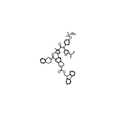 Cc1c(C(=O)N(c2ccc(O[Si](C)(C)C(C)(C)C)cc2)c2cnn(C(F)F)c2)cc(-c2cc3c(cc2C(=O)N2Cc4ccccc4C[C@H]2C)CN(C(=O)OCC2c4ccccc4-c4ccccc42)CC3)n1C